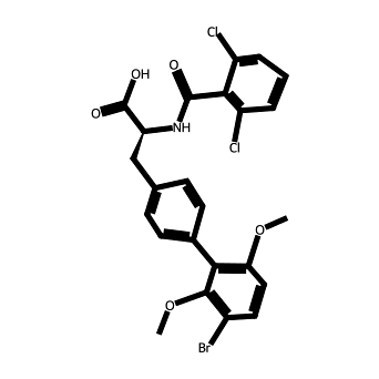 COc1ccc(Br)c(OC)c1-c1ccc(C[C@H](NC(=O)c2c(Cl)cccc2Cl)C(=O)O)cc1